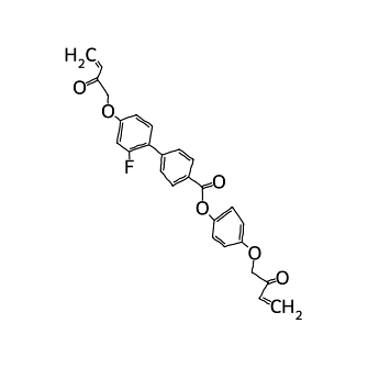 C=CC(=O)COc1ccc(OC(=O)c2ccc(-c3ccc(OCC(=O)C=C)cc3F)cc2)cc1